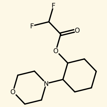 O=C(OC1CCCCC1N1CCOCC1)C(F)F